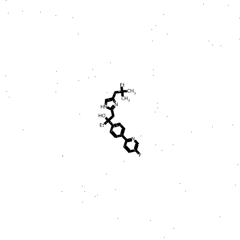 CCC(C)(C)Cc1c[nH]c(CC(O)(CC)c2ccc(-c3ccc(F)cn3)cc2)n1